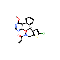 C=CC(=O)N1Cc2sc(Cl)cc2[C@@H](c2ccccc2-c2c(OC)ncnc2OC)C1